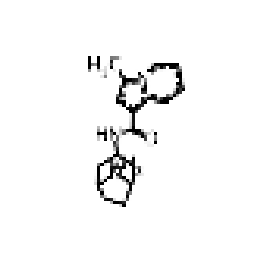 Cc1cc(C(=O)NC2CC3CCC(C2)N3C)c2ccccn12